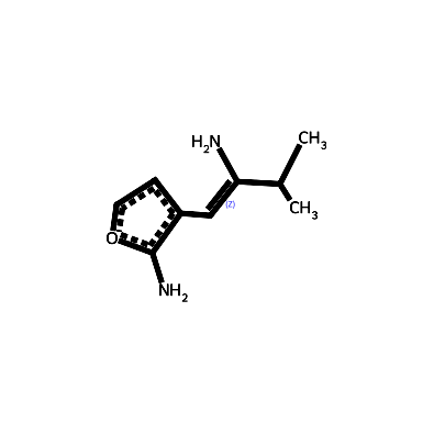 CC(C)/C(N)=C/c1ccoc1N